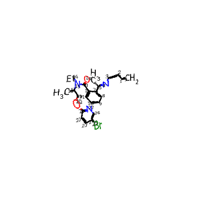 C=C/C=C\N=C(/C)c1ccccc1C(=O)N(CC)C(C)COc1ccc(Br)cn1